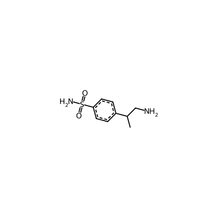 CC(CN)c1ccc(S(N)(=O)=O)cc1